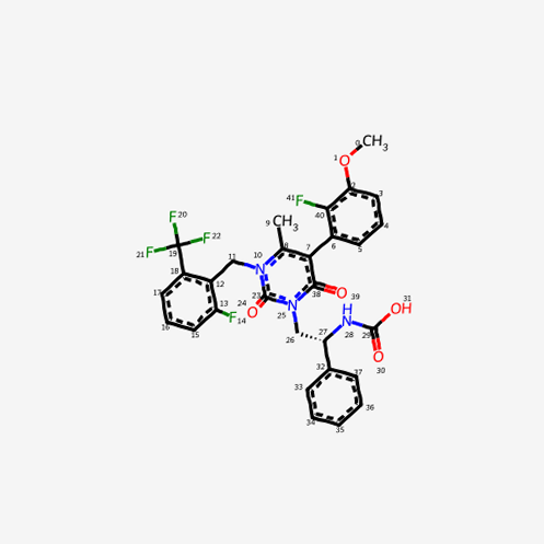 COc1cccc(-c2c(C)n(Cc3c(F)cccc3C(F)(F)F)c(=O)n(C[C@H](NC(=O)O)c3ccccc3)c2=O)c1F